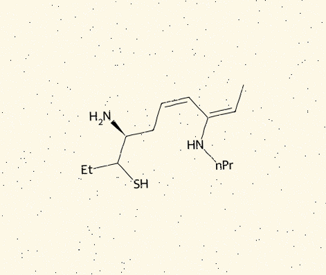 C/C=C(\C=C/C[C@H](N)C(S)CC)NCCC